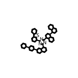 c1ccc(-c2ccc(-c3ccc4cccc(-c5nc(-c6ccc(-c7cccc8ccccc78)c7ccccc67)nc(-c6cccc7c6sc6ccccc67)n5)c4c3)cc2)cc1